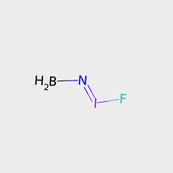 B/N=I/F